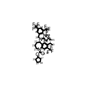 CCc1cc2c(cc1C(F)(F)F)N(C(=O)OC1CCCC1)CCC[C@@H]2N(Cc1cc(C(F)(F)F)cc(C(F)(F)F)c1)c1nnn(C)n1